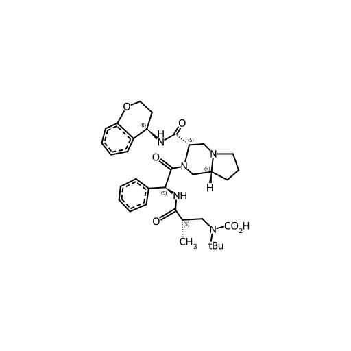 C[C@@H](CN(C(=O)O)C(C)(C)C)C(=O)N[C@H](C(=O)N1C[C@H]2CCCN2C[C@H]1C(=O)N[C@@H]1CCOc2ccccc21)c1ccccc1